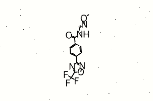 CON=CNC(=O)c1ccc(-c2noc(C(F)(F)F)n2)cc1